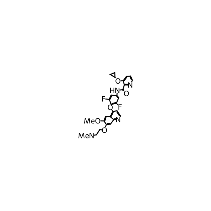 CNCCOc1cc2nccc(Oc3c(F)cc(NC(=O)c4ncccc4OC4CC4)cc3F)c2cc1OC